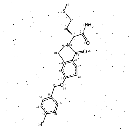 CSCC[C@@H](C(N)=O)N1CCc2cc(OCc3ccc(F)cc3)ccc2C1=O